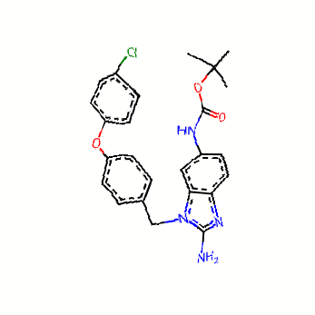 CC(C)(C)OC(=O)Nc1ccc2nc(N)n(Cc3ccc(Oc4ccc(Cl)cc4)cc3)c2c1